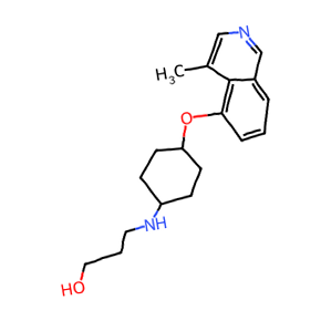 Cc1cncc2cccc(OC3CCC(NCCCO)CC3)c12